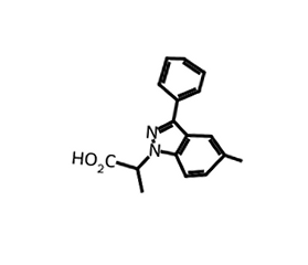 Cc1ccc2c(c1)c(-c1ccccc1)nn2C(C)C(=O)O